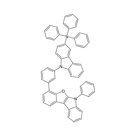 c1ccc(-n2c3ccccc3c3c4cccc(-c5cccc(-n6c7ccccc7c7cc([Si](c8ccccc8)(c8ccccc8)c8ccccc8)ccc76)c5)c4oc32)cc1